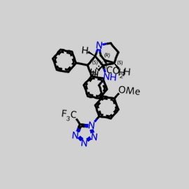 COc1ccc(-n2nnnc2C(F)(F)F)cc1CN[C@H]1[C@H]2CCN(C[C@@H]2C(=O)O)[C@H]1C(c1ccccc1)c1ccccc1